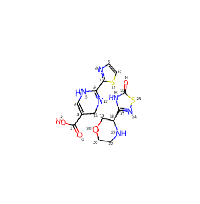 O=C(O)C1=CNC(c2nccs2)=NC1.O=c1[nH]c([C@@H]2COCCN2)ns1